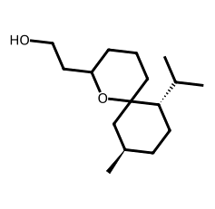 CC(C)[C@@H]1CC[C@@H](C)CC12CCCC(CCO)O2